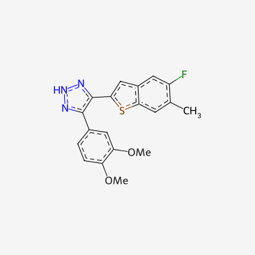 COc1ccc(-c2n[nH]nc2-c2cc3cc(F)c(C)cc3s2)cc1OC